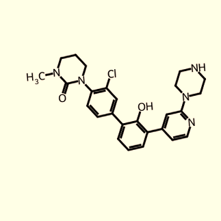 CN1CCCN(c2ccc(-c3cccc(-c4ccnc(N5CCNCC5)c4)c3O)cc2Cl)C1=O